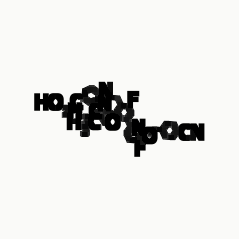 CC1(C)COC[C@H]1n1c(Cc2ccc(-c3ccc(F)c(OCc4ccc(C#N)cc4)n3)cc2F)nc2ccc(C(=O)O)cc21